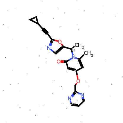 Cc1cc(OCc2ncccn2)cc(=O)n1[C@H](C)c1cnc(C#CC2CC2)o1